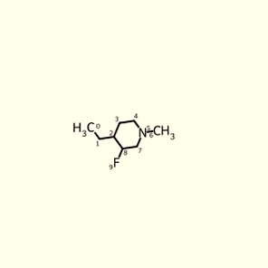 CCC1CCN(C)CC1F